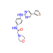 O=C(CN1CCOCC1)Nc1ccc(Nc2ncc(-c3ccsc3)cn2)cc1